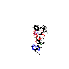 Cc1ncnn2c([C@@H]3O[C@H](COP(=O)(N[C@@H](C)C(=O)OCC(C)(C)C)Oc4ccccc4)[C@@H](O)[C@@]3(C)F)cnc12